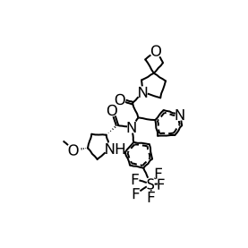 CO[C@H]1CN[C@@H](C(=O)N(c2ccc(S(F)(F)(F)(F)F)cc2)C(C(=O)N2CCC3(COC3)C2)c2cccnc2)C1